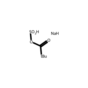 CC(C)(C)C(=O)OS(=O)(=O)O.[NaH]